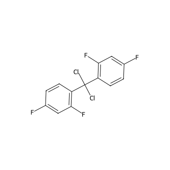 Fc1ccc(C(Cl)(Cl)c2ccc(F)cc2F)c(F)c1